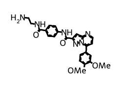 COc1ccc(-c2ccnc3cc(C(=O)Nc4ccc(C(=O)NCCN)cc4)nn23)cc1OC